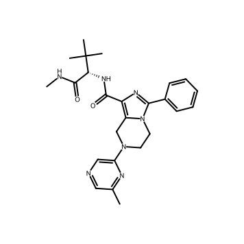 CNC(=O)[C@@H](NC(=O)c1nc(-c2ccccc2)n2c1CN(c1cncc(C)n1)CC2)C(C)(C)C